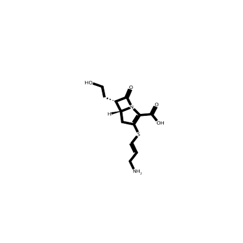 NC/C=C/SC1=C(C(=O)O)N2C(=O)[C@@H](CCO)[C@H]2C1